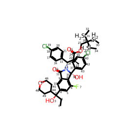 CC[C@@](O)(c1cc(F)c2c(c1)C(=O)N([C@H](c1ccc(Cl)cc1)[C@H](C)C(=O)OCC([SiH2]C)([SiH2]C)[SiH2]C)[C@@]2(O)c1ccc(Cl)cc1)C1CCOCC1